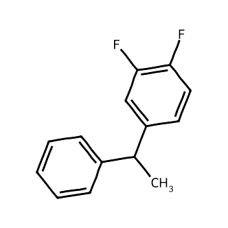 CC(c1ccccc1)c1ccc(F)c(F)c1